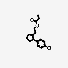 CCC(=O)OCCC1CCCC1c1ccc(Cl)cc1